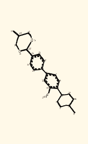 CC1CCC(c2ccc(-c3ccc(C4OCC(C)CO4)cc3)cc2F)CC1